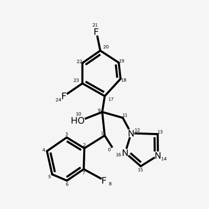 CC(c1ccccc1F)C(O)(Cn1cncn1)c1ccc(F)cc1F